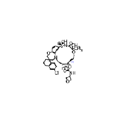 CCC[C@@H]1CCN2C[C@@]3(CCCc4cc(Cl)ccc43)COc3ccc(cc32)S(=O)(=O)NC(=O)C(C)(C)OC/C=C/[C@@H]1OC(=O)NC1COC1